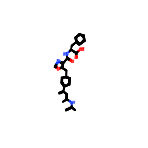 C=C(C)N/C(C)=C/C(=C)c1ccc(Cc2ocnc2C(=O)N[C@@H](Cc2ccccc2)C(=O)O)cc1